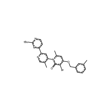 Cc1cccc(COc2cc(C)n(-c3cc(-c4ccnc(C(C)(C)C)n4)ncc3C)c(=O)c2Br)c1